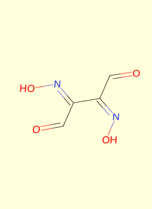 O=CC(=NO)C(C=O)=NO